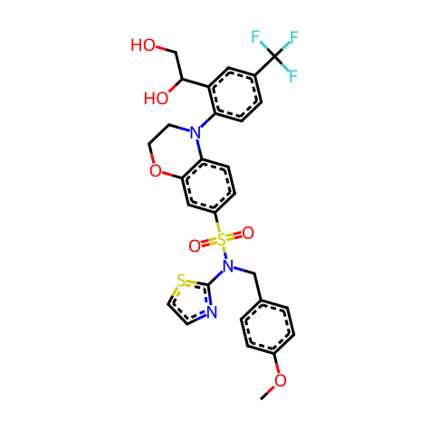 COc1ccc(CN(c2nccs2)S(=O)(=O)c2ccc3c(c2)OCCN3c2ccc(C(F)(F)F)cc2C(O)CO)cc1